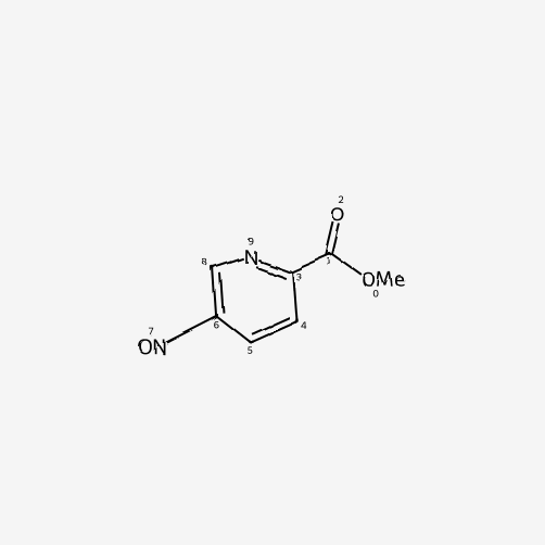 COC(=O)c1ccc(N=O)cn1